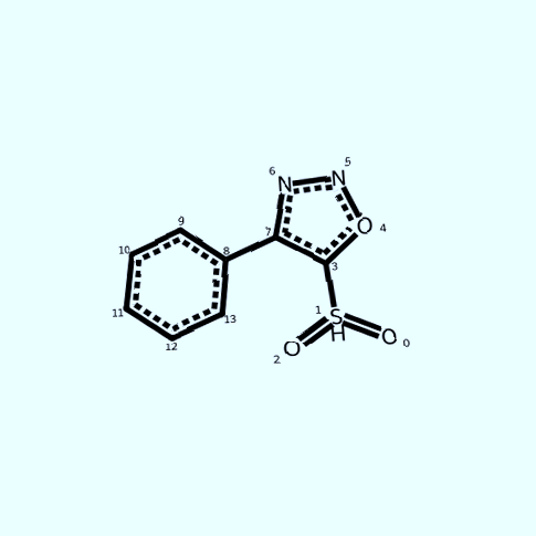 O=[SH](=O)c1onnc1-c1ccccc1